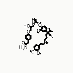 CC(C)NCC(O)COc1ccc(CC(N)=O)cc1.COc1ccc(CCN(C)CCCC(C#N)(c2ccc(OC)c(OC)c2)C(C)C)cc1OC